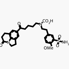 COc1ccc(CCN(CCCCC(=O)c2cc3c4c(c2)CCN4C(=O)CC3)C(=O)O)cc1S(N)(=O)=O